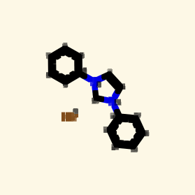 Br.C1=CN(c2ccccc2)CN1c1ccccc1